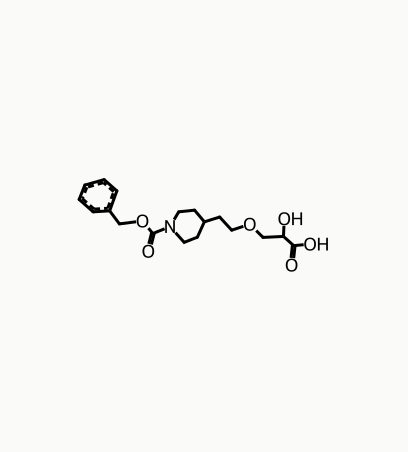 O=C(O)C(O)COCCC1CCN(C(=O)OCc2ccccc2)CC1